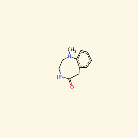 CN1CCNC(=O)Cc2ccccc21